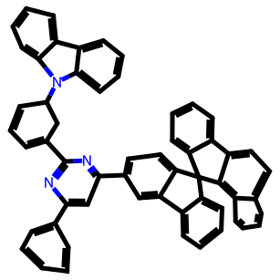 C1=CC(n2c3ccccc3c3ccccc32)CC(c2nc(-c3ccccc3)cc(-c3ccc4c(c3)-c3ccccc3C43c4ccccc4-c4ccc5ccccc5c43)n2)=C1